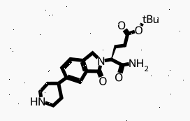 CC(C)(C)OC(=O)CC[C@@H](C(N)=O)N1Cc2ccc(C3CCNCC3)cc2C1=O